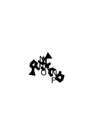 Cc1cccc(F)c1N1CCC(N2C(=O)N(Cc3ccccc3C3CC3)c3cnn(C4CC4)c3C2C)CC1